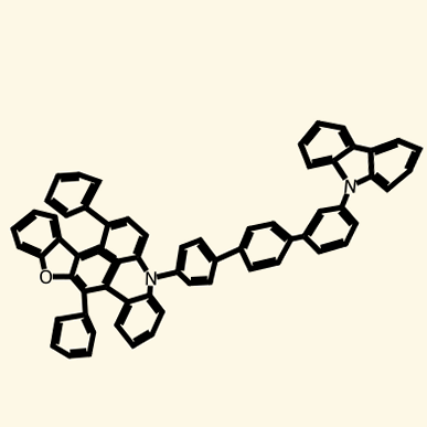 c1ccc(-c2ccc(N(c3ccc(-c4ccc(-c5cccc(-n6c7ccccc7c7ccccc76)c5)cc4)cc3)c3ccccc3-c3ccc4c(oc5ccccc54)c3-c3ccccc3)cc2)cc1